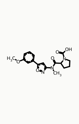 COc1cccc(-c2cc(N(C)C(=O)C3CCCN3C(=O)O)no2)c1